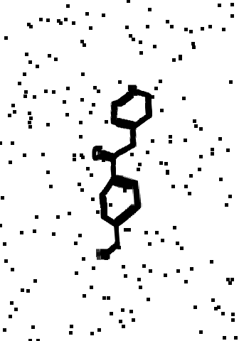 O=C(Cc1ccncc1)c1ccc(CS)cc1